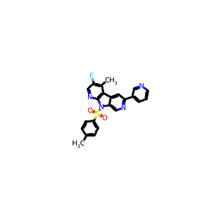 Cc1ccc(S(=O)(=O)n2c3cnc(-c4cccnc4)cc3c3c(C)c(F)cnc32)cc1